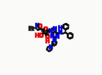 CCc1cc([C@H]2O[C@@H](n3cnc4c(NCC(c5ccccc5)c5ccccc5)nc(N5CC[C@@H](N6CCCC6)C5)nc43)[C@H](O)[C@@H]2O)on1